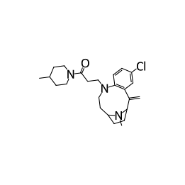 C=C1c2cc(Cl)ccc2N(CCC(=O)N2CCC(C)CC2)CCC2CCC1N2C